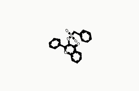 O=c1c(OS(=O)(=O)Cc2ccccc2)c(-c2ccccc2)oc2ccccc12